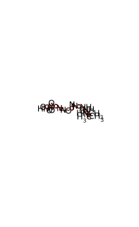 CC(C)(C)c1cc(NC(=O)Nc2ccc(-n3cnc4cc(OCCN5CCN(c6ccc7c(c6)C(=O)N(C6CCC(=O)NC6=O)C7=O)CC5)ccc43)cc2)[nH]n1